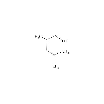 CC(=CC(C)C)CO